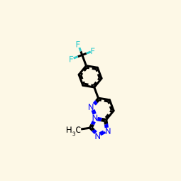 Cc1nnc2ccc(-c3ccc(C(F)(F)F)cc3)nn12